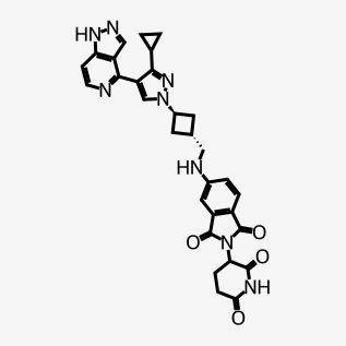 O=C1CCC(N2C(=O)c3ccc(NC[C@H]4C[C@H](n5cc(-c6nccc7[nH]ncc67)c(C6CC6)n5)C4)cc3C2=O)C(=O)N1